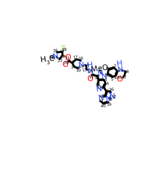 COc1cc2c(cc1-n1nc(C(=O)NCCN3CCC(C(=O)O[C@H]4CN(C)C[C@@H]4F)CC3)c3cnc(-c4cnn5cccnc45)cc31)OCCN2